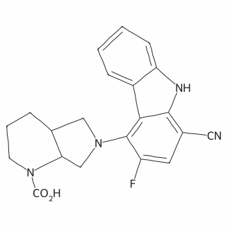 N#Cc1cc(F)c(N2CC3CCCN(C(=O)O)C3C2)c2c1[nH]c1ccccc12